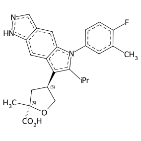 Cc1cc(-n2c(C(C)C)c([C@H]3CO[C@](C)(C(=O)O)C3)c3cc4[nH]ncc4cc32)ccc1F